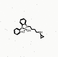 OS1(O)N(CCCCNC2CC2)c2ccccc2N1c1ccccc1